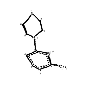 Cc1nccc(N2CC[N]CC2)n1